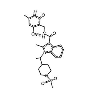 COc1cc(C)[nH]c(=O)c1CNC(=O)c1c(C)n(C(C)C2CCN(S(C)(=O)=O)CC2)c2ccccc12